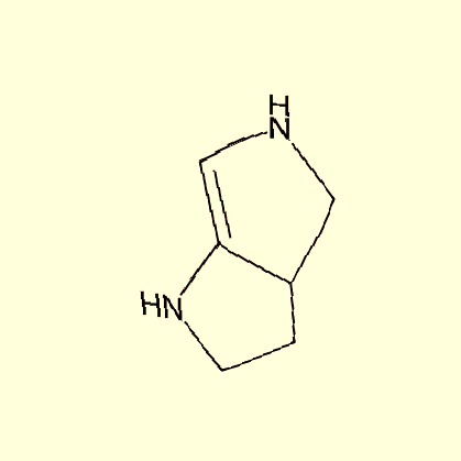 C1=C2NCCC2CN1